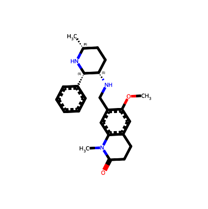 COc1cc2c(cc1CN[C@H]1CC[C@@H](C)N[C@H]1c1ccccc1)N(C)C(=O)CC2